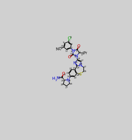 CC(C)C1C(=O)N(c2cc(Cl)cc(C#N)c2)C(=O)N1c1cn2c(n1)-c1ccc(N3CCC[C@H]3C(N)=O)cc1SCC2